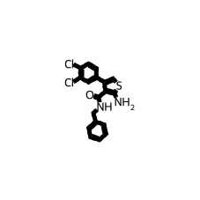 Nc1scc(-c2ccc(Cl)c(Cl)c2)c1C(=O)NCc1ccccc1